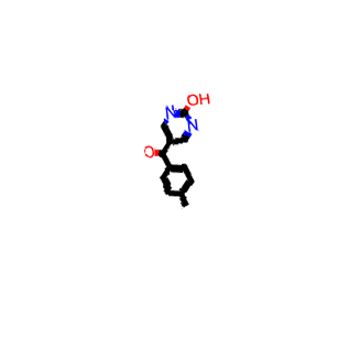 Cc1ccc(C(=O)c2cnc(O)nc2)cc1